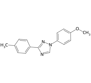 COc1ccc(-n2cnc(-c3ccc(C)cc3)n2)cc1